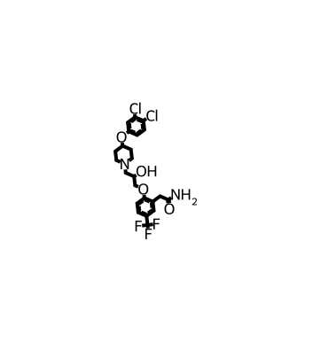 NC(=O)Cc1cc(C(F)(F)F)ccc1OCC(O)CN1CCC(Oc2ccc(Cl)c(Cl)c2)CC1